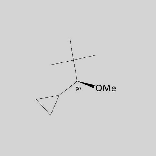 CO[C@@H](C1CC1)C(C)(C)C